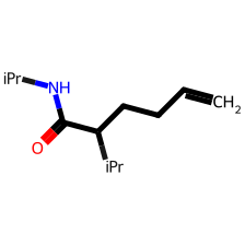 C=CCCC(C(=O)NC(C)C)C(C)C